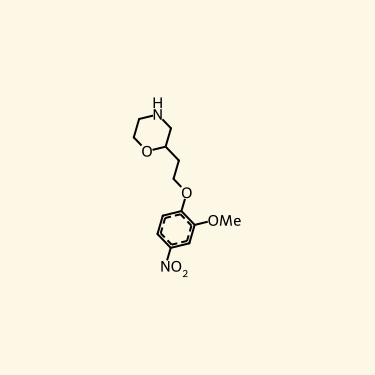 COc1cc([N+](=O)[O-])ccc1OCCC1CNCCO1